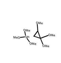 COC1CC1(OC)OC.CO[SiH](OC)OC